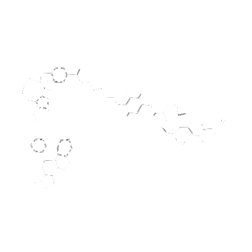 CCC[C@H](OC)[C@H](O)[C@@H](C)/C=C(\C)[C@H](OC(N)=O)[C@H](/C=C\CC(C)C(=O)NC1=CC(=O)C(NCCCCCNC(=O)c2ccc(CC3CCCCc4c(nnn4CCOc4ccc([C@H]5C[C@@]6(C)C(CC[C@@H]6O)C6CCc7cc(O)ccc7C65)cc4)C3(F)F)cc2)=C(C)C1=O)OC